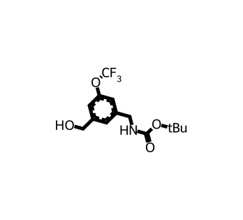 CC(C)(C)OC(=O)NCc1cc(CO)cc(OC(F)(F)F)c1